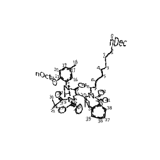 CCCCCCCCCCCCCCCCCCN1C(C(C(=O)Nc2cc(C)ccc2OCCCCCCCC)N2C(=O)OC(C)(C)C2=O)=Nc2ccccc2S1(=O)=O